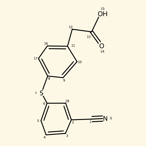 N#Cc1cccc(Sc2ccc(CC(=O)O)cc2)c1